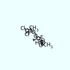 CCS(=O)(=O)NC(=O)c1cc(C2CC2)c(OCC2CCN(C(C)c3cc(Cl)cc(Cl)c3F)CC2)cc1F